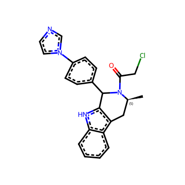 C[C@H]1Cc2c([nH]c3ccccc23)C(c2ccc(-n3ccnc3)cc2)N1C(=O)CCl